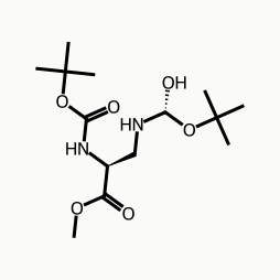 COC(=O)[C@H](CN[C@H](O)OC(C)(C)C)NC(=O)OC(C)(C)C